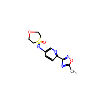 O=S1(=Nc2ccc(-c3noc(C(F)(F)F)n3)nc2)CCOCC1